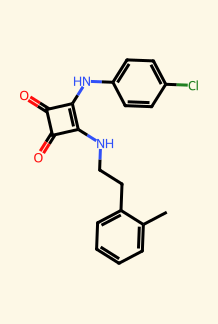 Cc1ccccc1CCNc1c(Nc2ccc(Cl)cc2)c(=O)c1=O